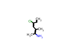 C=C/C(Cl)=C\C(C)=C(/C)N